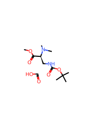 COC(=O)[C@H](CNC(=O)OC(C)(C)C)N(C)C.O=CO